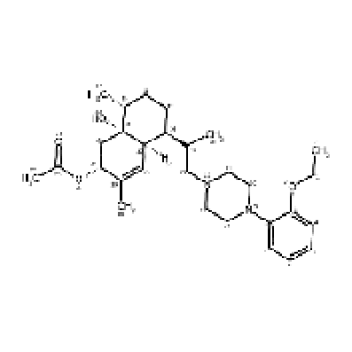 CCOc1ccccc1N1CCN(CC(C)[C@@H]2CC[C@@H](C)[C@]3(O)[CH][C@@H](OC(C)=O)C(C)=C[C@H]23)CC1